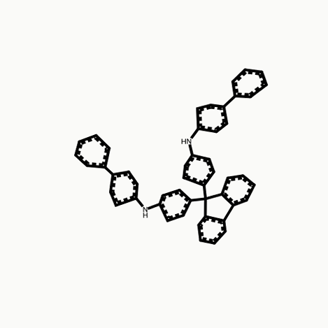 c1ccc(-c2ccc(Nc3ccc(C4(c5ccc(Nc6ccc(-c7ccccc7)cc6)cc5)c5ccccc5-c5ccccc54)cc3)cc2)cc1